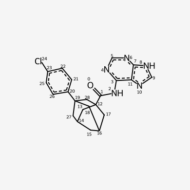 O=C(Nc1ncnc2[nH]cnc12)C12CC3CC(C1)CC(c1ccc(Cl)cc1)(C3)C2